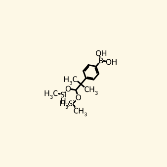 C[SiH2]OC(O[SiH2]C)C(C)(C)c1ccc(B(O)O)cc1